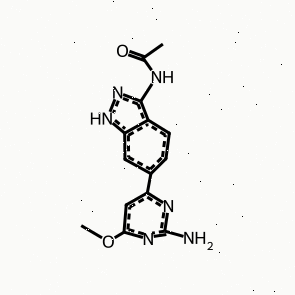 COc1cc(-c2ccc3c(NC(C)=O)n[nH]c3c2)nc(N)n1